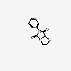 O=C1C2SCCN2C(=O)N1c1ccccc1